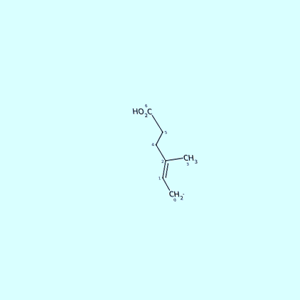 [CH2]/C=C(\C)CCC(=O)O